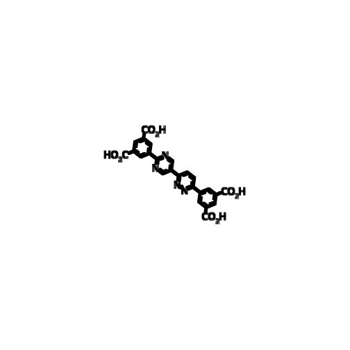 O=C(O)c1cc(C(=O)O)cc(-c2ccc(-c3cnc(-c4cc(C(=O)O)cc(C(=O)O)c4)nc3)nn2)c1